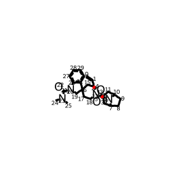 C=CCOC(=O)N1C2CCC1CC(N1CCC3(CC1)CN(C(=O)N(C)C)c1ccccc13)C2